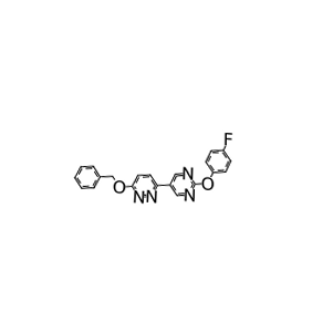 Fc1ccc(Oc2ncc(-c3ccc(OCc4ccccc4)nn3)cn2)cc1